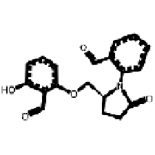 O=Cc1ccccc1N1C(=O)CC[C@H]1COc1cccc(O)c1C=O